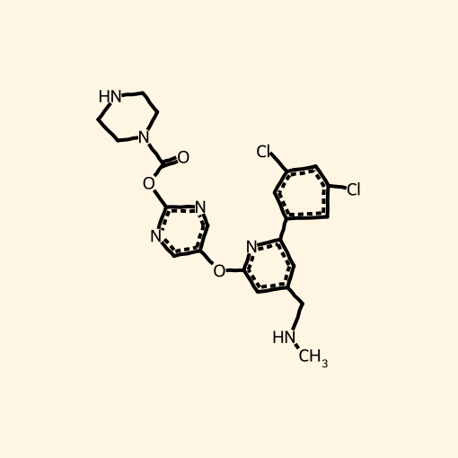 CNCc1cc(Oc2cnc(OC(=O)N3CCNCC3)nc2)nc(-c2cc(Cl)cc(Cl)c2)c1